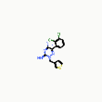 N=c1nc(N)c(-c2cccc(Cl)c2Cl)nn1Cc1ccsc1